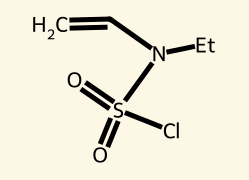 C=CN(CC)S(=O)(=O)Cl